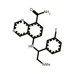 CNCC(Nc1ccc(C(N)=O)c2ncncc12)c1cccc(F)c1